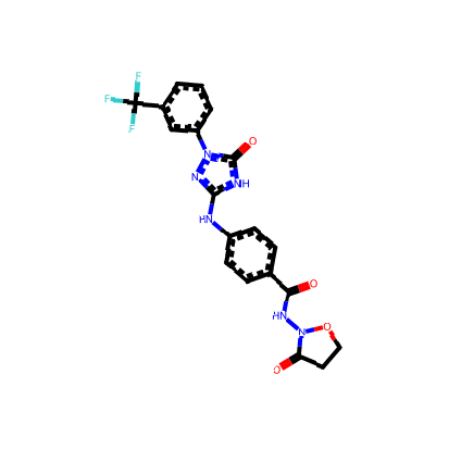 O=C(NN1OCCC1=O)c1ccc(Nc2nn(-c3cccc(C(F)(F)F)c3)c(=O)[nH]2)cc1